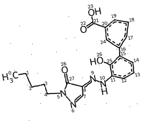 CCCCCN1N=CC(=NNc2cccc(-c3cccc(C(=O)O)c3)c2O)C1=O